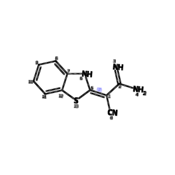 N#C/C(C(=N)N)=C1/Nc2ccccc2S1